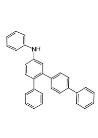 c1ccc(Nc2ccc(-c3ccccc3)c(-c3ccc(-c4ccccc4)cc3)c2)cc1